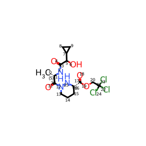 C[C@H](NC(=O)C(O)C1CC1)C(=O)N1CCC[C@@H](C(=O)OCC(Cl)(Cl)Cl)N1